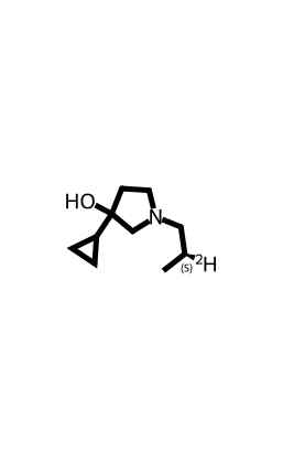 [2H][C@@H](C)CN1CCC(O)(C2CC2)C1